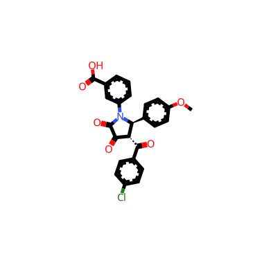 COc1ccc([C@H]2[C@H](C(=O)c3ccc(Cl)cc3)C(=O)C(=O)N2c2cccc(C(=O)O)c2)cc1